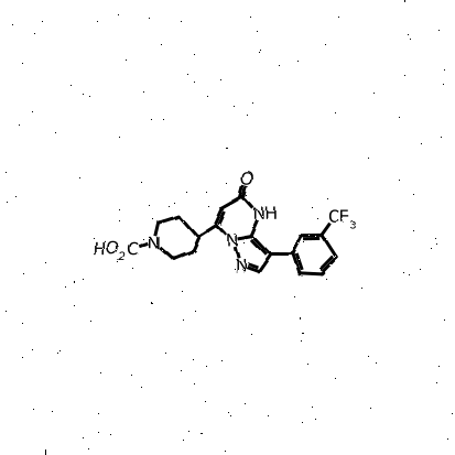 O=C(O)N1CCC(c2cc(=O)[nH]c3c(-c4cccc(C(F)(F)F)c4)cnn23)CC1